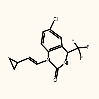 O=C1NC(C(F)(F)F)c2cc(Cl)ccc2N1C=CC1CC1